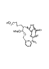 COC(OCc1ccccc1)C(CCCC(=O)O)n1cnc2c(=O)[nH]c(N)nc21